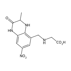 CC1Nc2c(CNCC(=O)O)cc([N+](=O)[O-])cc2NC1=O